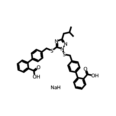 CC(C)Cc1nc(SCc2ccc(-c3ccccc3C(=O)O)cc2)n(SCc2ccc(-c3ccccc3C(=O)O)cc2)n1.[NaH]